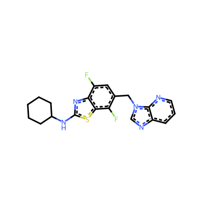 Fc1cc(Cn2cnc3cccnc32)c(F)c2sc(NC3CCCCC3)nc12